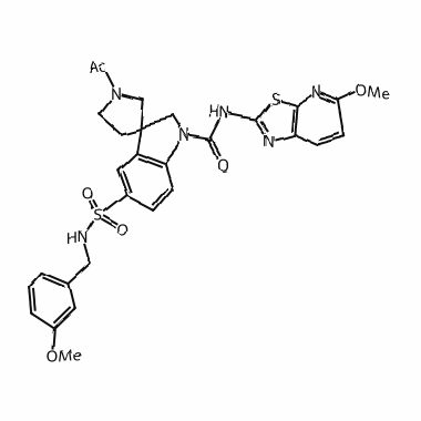 COc1cccc(CNS(=O)(=O)c2ccc3c(c2)C2(CCN(C(C)=O)C2)CN3C(=O)Nc2nc3ccc(OC)nc3s2)c1